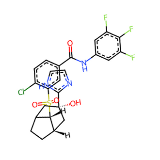 O=C(Nc1cc(F)c(F)c(F)c1)c1ccc(Cl)c(S(=O)(=O)[C@H]2C3CC[C@H]2C[C@](O)(c2ncc[nH]2)C3)c1